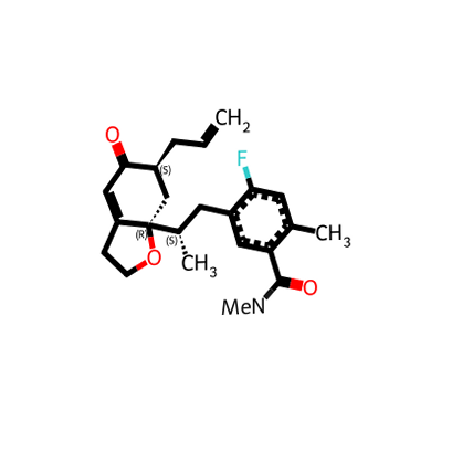 C=CC[C@H]1C[C@]2([C@@H](C)Cc3cc(C(=O)NC)c(C)cc3F)OCCC2=CC1=O